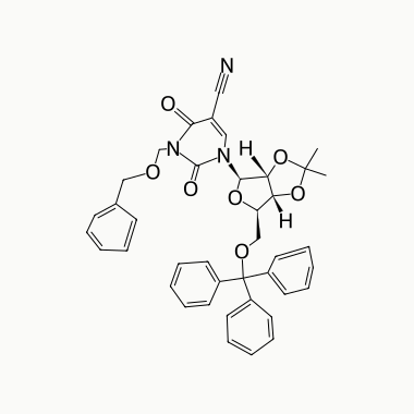 CC1(C)O[C@@H]2[C@H](O1)[C@@H](COC(c1ccccc1)(c1ccccc1)c1ccccc1)O[C@H]2n1cc(C#N)c(=O)n(COCc2ccccc2)c1=O